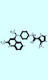 CN(c1cc(C(F)(F)F)nc2ccccc12)[C@H]1CC[C@@H](NC(=O)c2sccc2C(F)(F)F)CC1